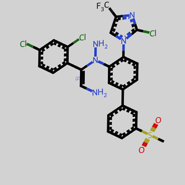 CS(=O)(=O)c1cccc(-c2ccc(-n3cc(C(F)(F)F)nc3Cl)c(N(N)/C(=C\N)c3ccc(Cl)cc3Cl)c2)c1